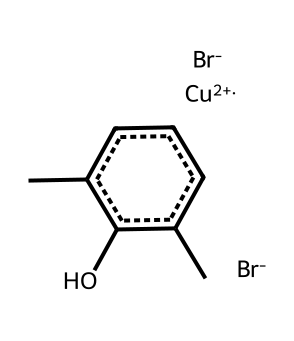 Cc1cccc(C)c1O.[Br-].[Br-].[Cu+2]